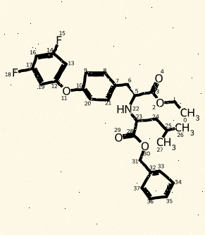 CCOC(=O)[C@H](Cc1ccc(Oc2cc(F)cc(F)c2)cc1)NC(CC(C)C)C(=O)OCc1ccccc1